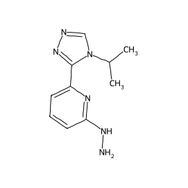 CC(C)n1cnnc1-c1cccc(NN)n1